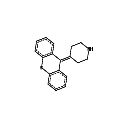 c1ccc2c(c1)Sc1ccccc1C2=C1CCNCC1